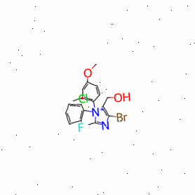 COc1ccc([N+]2(c3c(F)cccc3Cl)C(C)=NC(Br)=C2CO)c(C)c1